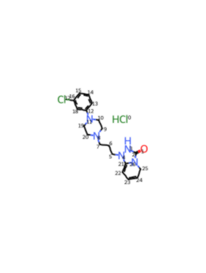 Cl.O=C1NN(CCCN2CCN(c3cccc(Cl)c3)CC2)C2=CC=CCN12